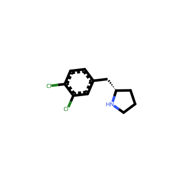 Clc1ccc(C[C@@H]2CCCN2)cc1Cl